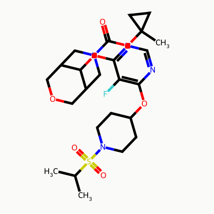 CC(C)S(=O)(=O)N1CCC(Oc2ncnc(OC3C4COCC3CN(C(=O)OC3(C)CC3)C4)c2F)CC1